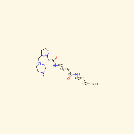 CN1CC[15N](CC2CCC[15N]2C[13C](=O)N[13CH2][13CH2][13CH2][13C](=O)N[13CH2][13CH2][13CH2][13C](=O)O)CC1